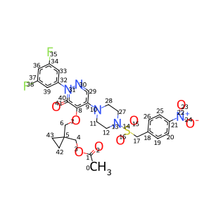 CC(=O)OCC1(COc2c(N3CCN(S(=O)(=O)Cc4ccc([N+](=O)[O-])cc4)CC3)cnn(-c3cc(F)cc(F)c3)c2=O)CC1